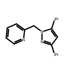 CC(C)c1cc(C(C)C)n(Cc2ccccn2)n1